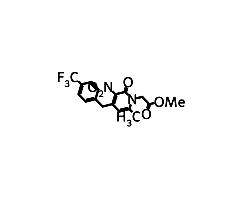 COC(=O)Cn1c(C)cc(Cc2ccc(C(F)(F)F)cc2)c([N+](=O)[O-])c1=O